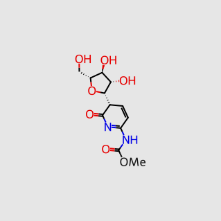 COC(=O)NC1=NC(=O)C([C@@H]2O[C@H](CO)[C@@H](O)[C@@H]2O)C=C1